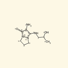 CC(O)CNc1c(N)c(=O)n2n1CCC2